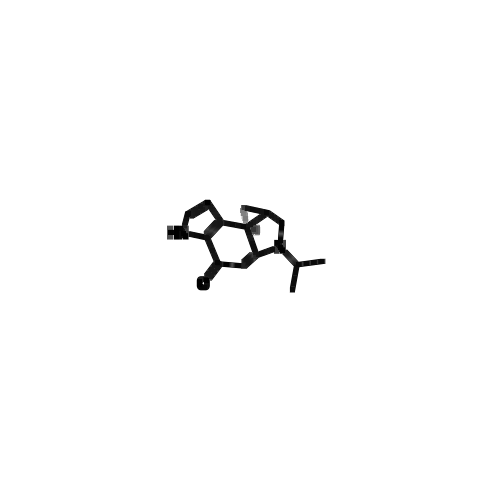 CC(C)N1CC2C[C@@]23C1=CC(=O)c1[nH]ccc13